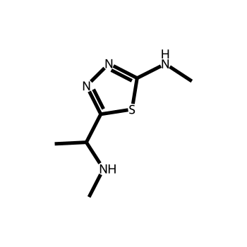 CNc1nnc(C(C)NC)s1